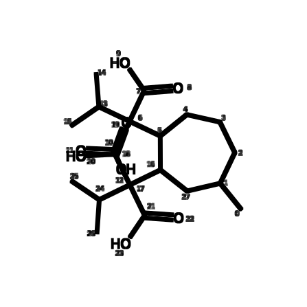 CC1CCCC(C(C(=O)O)(C(=O)O)C(C)C)C(C(C(=O)O)(C(=O)O)C(C)C)C1